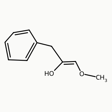 COC=C(O)Cc1ccccc1